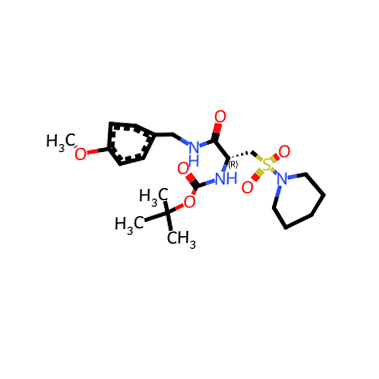 COc1ccc(CNC(=O)[C@H](CS(=O)(=O)N2CCCCC2)NC(=O)OC(C)(C)C)cc1